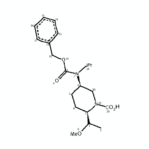 COC(C)[C@H]1CC[C@@H](N(C(=O)OCc2ccccc2)C(C)C)CN1C(=O)O